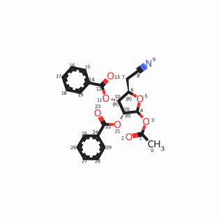 CC(=O)OC1O[C@H](CC#N)[C@@H](OC(=O)c2ccccc2)[C@H]1OC(=O)c1ccccc1